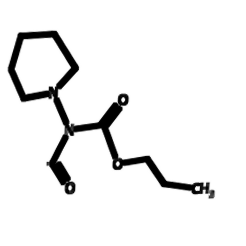 CCCOC(=O)N([C]=O)N1CCCCC1